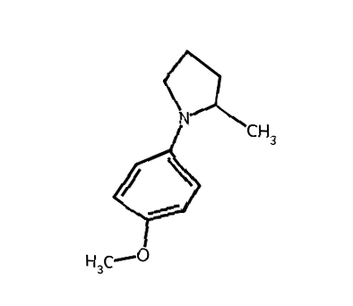 COc1ccc(N2CCCC2C)cc1